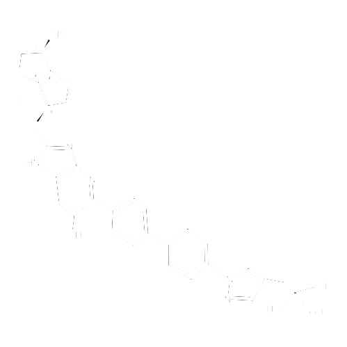 Cc1cc2[nH]c(O[C@@H]3CO[C@H]4[C@@H]3OC[C@H]4O)nc2nc1-c1ccc(-c2ccc(-n3cc(CC(C)(C)O)cn3)cc2)cc1